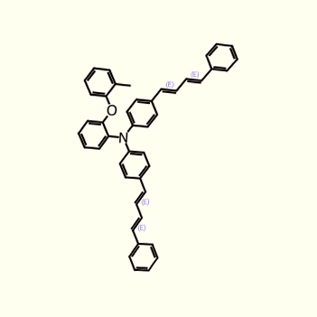 Cc1ccccc1Oc1ccccc1N(c1ccc(/C=C/C=C/c2ccccc2)cc1)c1ccc(/C=C/C=C/c2ccccc2)cc1